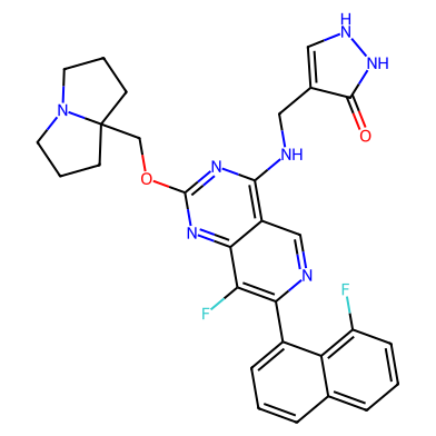 O=c1[nH][nH]cc1CNc1nc(OCC23CCCN2CCC3)nc2c(F)c(-c3cccc4cccc(F)c34)ncc12